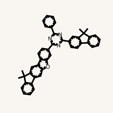 CC1(C)c2ccccc2-c2ccc(-c3nc(-c4ccccc4)nc(-c4ccc5c(c4)oc4cc6c(cc45)C(C)(C)c4ccccc4-6)n3)cc21